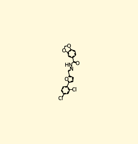 O=C(N/N=C/c1ccc(-c2ccc(Cl)cc2Cl)o1)c1ccc2c(c1)OCO2